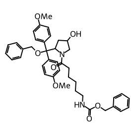 COc1ccc(C(OCc2ccccc2)(c2ccc(OC)cc2)C2CC(O)CN2C(=O)CCCCCNC(=O)OCc2ccccc2)cc1